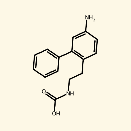 Nc1ccc(CCNC(=O)O)c(-c2ccccc2)c1